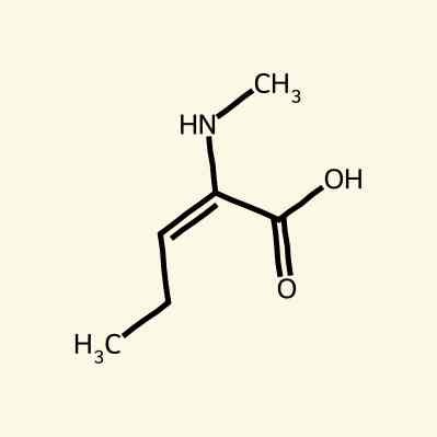 CC/C=C(/NC)C(=O)O